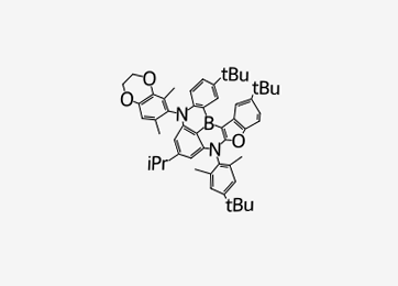 Cc1cc(C(C)(C)C)cc(C)c1N1c2cc(C(C)C)cc3c2B(c2cc(C(C)(C)C)ccc2N3c2c(C)cc3c(c2C)OCCO3)c2c1oc1ccc(C(C)(C)C)cc21